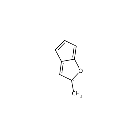 C[C]1C=C2C=CC=C2O1